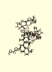 C#Cc1c(F)ccc2cc(OCOC)cc(-c3nc4c5c(nc(OC[C@@]67CCCN6C[C@H](OC(F)(F)F)C7)nc5c3F)N3C[C@H]5CC[C@@H]([C@H]3CC4)N5C(=O)OC(C)(C)C)c12